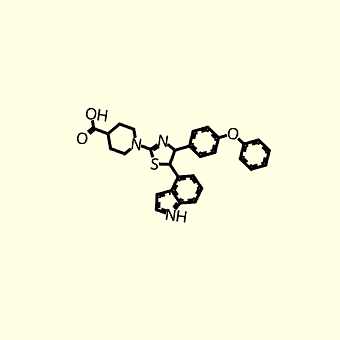 O=C(O)C1CCN(C2=NC(c3ccc(Oc4ccccc4)cc3)C(c3cccc4[nH]ccc34)S2)CC1